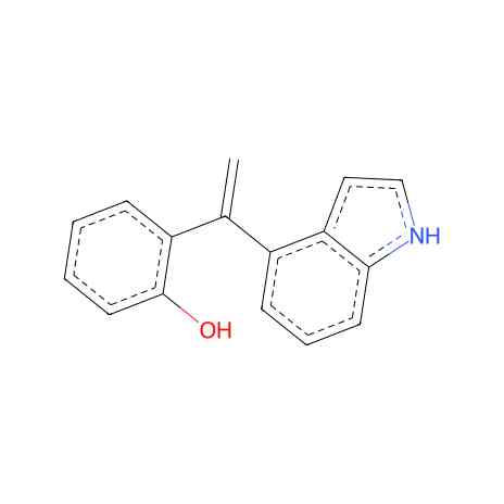 C=C(c1ccccc1O)c1cccc2[nH]ccc12